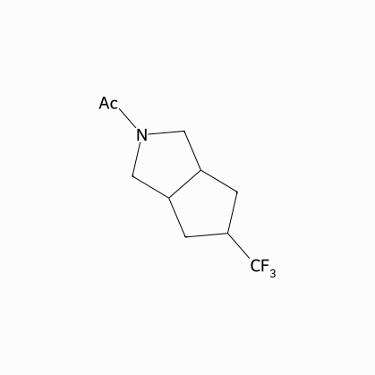 CC(=O)N1CC2CC(C(F)(F)F)CC2C1